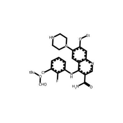 CC(C)(C)OC=O.CCOc1cc2ncc(C(N)=O)c(Nc3cccc(Cl)c3F)c2cc1N1CCNCC1